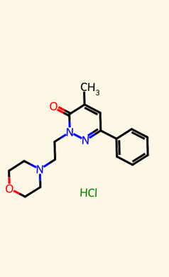 Cc1cc(-c2ccccc2)nn(CCN2CCOCC2)c1=O.Cl